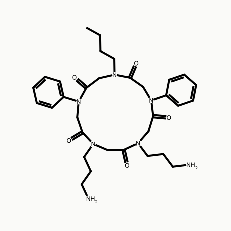 CCCCN1CC(=O)N(c2ccccc2)CC(=O)N(CCCN)CC(=O)N(CCCN)CC(=O)N(c2ccccc2)CC1=O